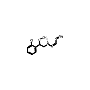 COC(CN/N=C\N=N)c1ccccc1Cl